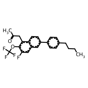 CCCCc1ccc(-c2ccc3c(CC(C)=O)c(OC(F)(F)F)c(F)cc3c2)cc1